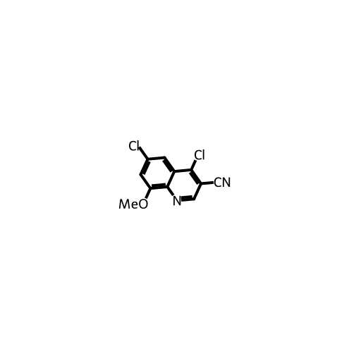 COc1cc(Cl)cc2c(Cl)c(C#N)cnc12